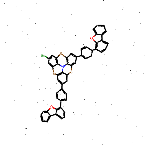 Brc1cc2c3c(c1)Sc1cc(-c4ccc(-c5cccc6c5oc5ccccc56)cc4)cc4c1N3c1c(cc(C3=CCC(c5cccc6c5oc5ccccc56)C=C3)cc1S4)S2